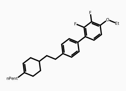 CCCCCC1=CCC(CCc2ccc(-c3ccc(OCC)c(F)c3F)cc2)CC1